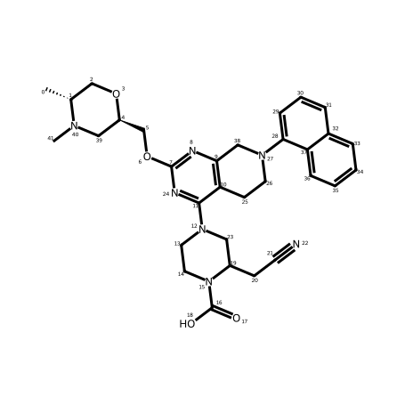 C[C@@H]1CO[C@@H](COc2nc3c(c(N4CCN(C(=O)O)C(CC#N)C4)n2)CCN(c2cccc4ccccc24)C3)CN1C